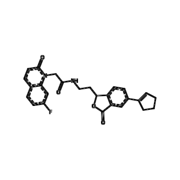 O=C(Cn1c(=O)ccc2ccc(F)cc21)NCCC1OC(=O)c2cc(C3=CCCC3)ccc21